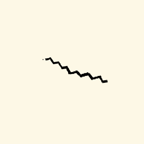 [CH2]CCCCC=CCC=CCCCC